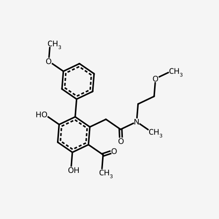 COCCN(C)C(=O)Cc1c(C(C)=O)c(O)cc(O)c1-c1cccc(OC)c1